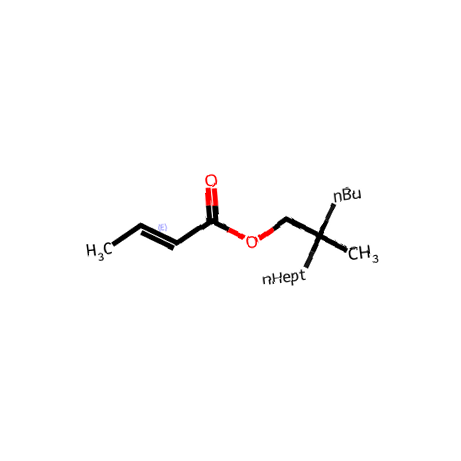 C/C=C/C(=O)OCC(C)(CCCC)CCCCCCC